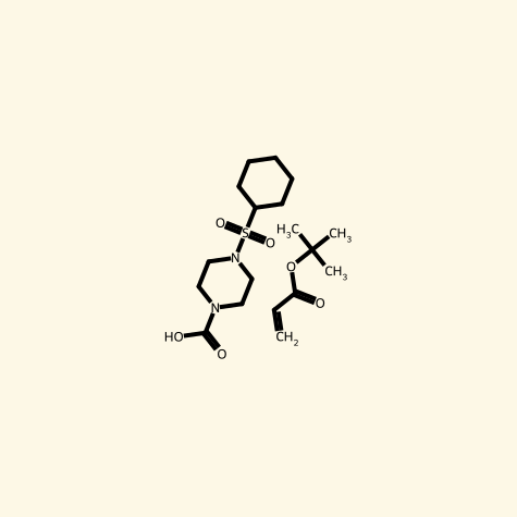 C=CC(=O)OC(C)(C)C.O=C(O)N1CCN(S(=O)(=O)C2CCCCC2)CC1